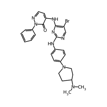 CN(C)C1CCN(c2ccc(Nc3ncc(Br)c(Nc4ccnn(-c5ccccc5)c4=O)n3)cc2)CC1